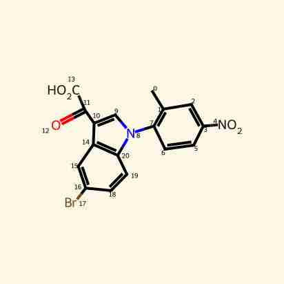 Cc1cc([N+](=O)[O-])ccc1-n1cc(C(=O)C(=O)O)c2cc(Br)ccc21